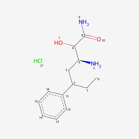 CCC(C[C@H](N)C(O)C(N)=O)c1ccccc1.Cl